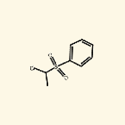 CC(Cl)S(=O)(=O)c1c[c]ccc1